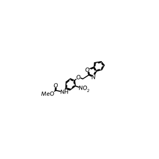 COC(=O)Nc1ccc(OCc2nc3ccccc3o2)c([N+](=O)[O-])c1